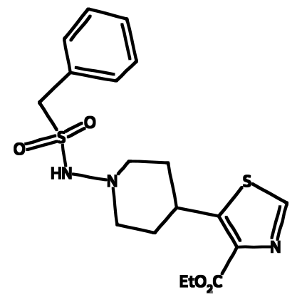 CCOC(=O)c1ncsc1C1CCN(NS(=O)(=O)Cc2ccccc2)CC1